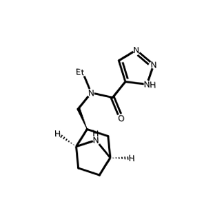 CCN(C[C@H]1C[C@H]2CC[C@@H]1N2)C(=O)c1cnn[nH]1